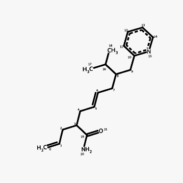 C=CCC(CC=CCC(Cc1ccccn1)C(C)C)C(N)=O